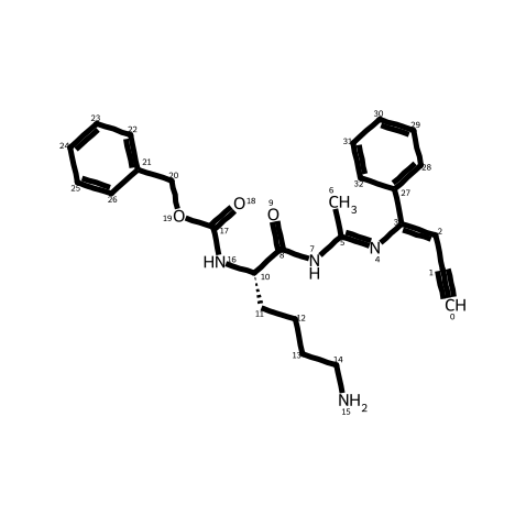 C#C/C=C(\N=C(/C)NC(=O)[C@H](CCCCN)NC(=O)OCc1ccccc1)c1ccccc1